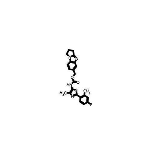 Cc1cc(F)ccc1-c1nc(C)c(NC(=O)OCc2ccc3c(c2)nc2n3CCC2)s1